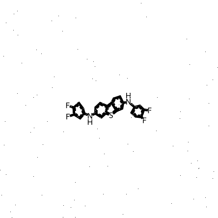 Fc1ccc(Nc2ccc3c(c2)sc2cc(Nc4ccc(F)c(F)c4)ccc23)cc1F